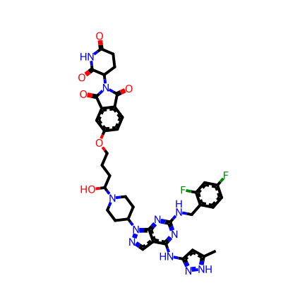 Cc1cc(Nc2nc(NCc3ccc(F)cc3F)nc3c2cnn3C2CCN(C(O)CCCOc3ccc4c(c3)C(=O)N(C3CCC(=O)NC3=O)C4=O)CC2)n[nH]1